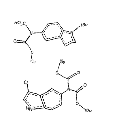 CC(C)(C)OC(=O)N(C(=O)O)c1ccc2c(ccn2C(C)(C)C)c1.CC(C)(C)OC(=O)N(C(=O)OC(C)(C)C)c1ccc2[nH]cc(Cl)c2c1